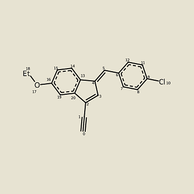 C#CC1=CC(=Cc2ccc(Cl)cc2)c2ccc(OCC)cc21